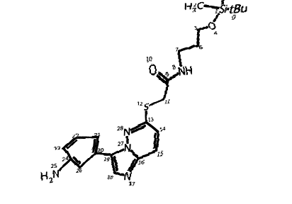 CC(C)(C)[Si](C)(C)OCCCNC(=O)CSc1ccc2ncc(-c3cccc(N)c3)n2n1